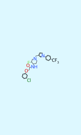 O=C(COc1cccc(Cl)c1)N[C@@H]1CCN(Cc2ccn(-c3ccc(C(F)(F)F)cc3)c2)C[C@@H]1F